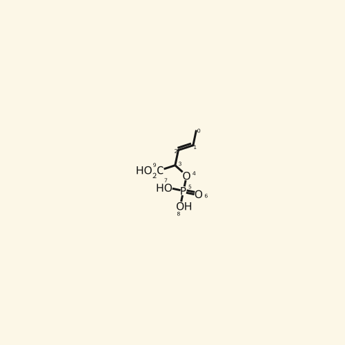 C/C=C/C(OP(=O)(O)O)C(=O)O